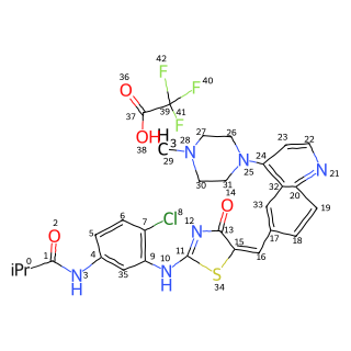 CC(C)C(=O)Nc1ccc(Cl)c(NC2=NC(=O)C(=Cc3ccc4nccc(N5CCN(C)CC5)c4c3)S2)c1.O=C(O)C(F)(F)F